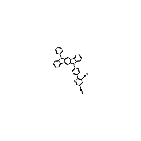 N#Cc1cnc(-c2ccc(-n3c4ccccc4c4cc5c(cc43)c3ccccc3n5-c3ccccc3)cc2)c(C#N)c1